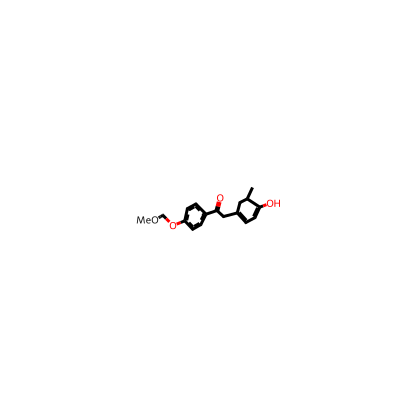 COCOc1ccc(C(=O)CC2=CC=C(O)C(C)C2)cc1